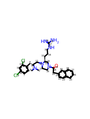 CN(C)[C@H](Cc1ccc(Cl)cc1Cl)CN1CCN(C(=O)Cc2ccc3ccccc3c2)C[C@@H]1CCCNC(=N)N